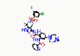 CN1CCN(c2ccc(C(=O)Nc3n[nH]c4c3CN(S(=O)(=O)c3cc(F)cc(F)c3)CC4(C)C)c(NC(=O)c3ccccn3)c2)CC1